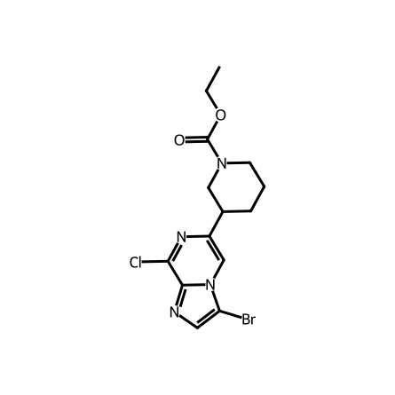 CCOC(=O)N1CCCC(c2cn3c(Br)cnc3c(Cl)n2)C1